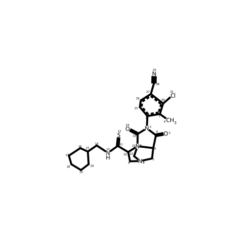 Cc1c(N2C(=O)C3CN4CC(C(=S)NCC5CCCCC5)[N+]3(C4)C2=O)ccc(C#N)c1Cl